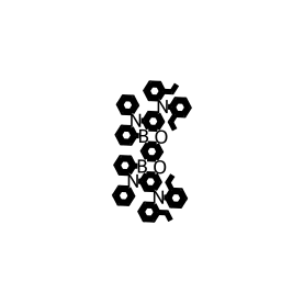 CCc1ccccc1N(c1cc2c3c(c1)N(c1ccccc1)c1ccccc1B3c1cc3c(cc1O2)Oc1cc(N(c2ccccc2CC)c2ccccc2CC)cc2c1B3c1ccccc1N2c1ccccc1)c1ccccc1CC